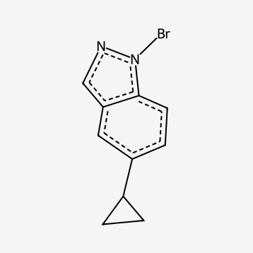 Brn1ncc2cc(C3CC3)ccc21